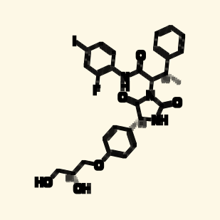 C[C@@H](c1ccccc1)C(C(=O)Nc1ccc(I)cc1F)N1C(=O)N[C@H](c2ccc(OC[C@H](O)CO)cc2)C1=O